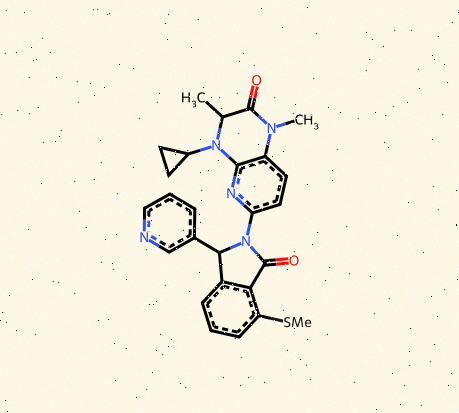 CSc1cccc2c1C(=O)N(c1ccc3c(n1)N(C1CC1)C(C)C(=O)N3C)C2c1cccnc1